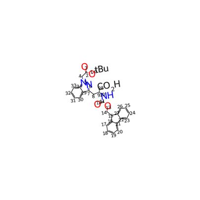 CC(C)(C)OC(=O)Cn1nc(CC(NC(=O)OCC2c3ccccc3-c3ccccc32)C(=O)O)c2ccccc21